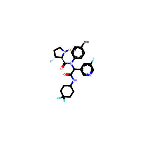 CC(C)(C)c1ccc(N(C(=O)[C@H]2[C@H](F)CCN2C(=O)O)C(C(=O)NC2CCC(F)(F)CC2)c2cncc(F)c2)cc1